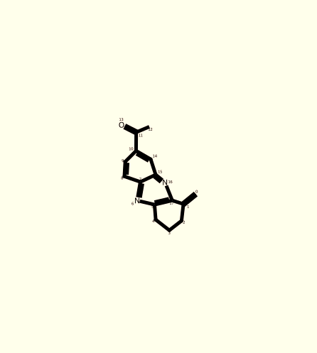 C=C1CCCc2nc3ccc(C(C)=O)cc3nc21